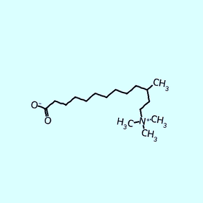 CC(CCCCCCCCCC(=O)[O-])CC[N+](C)(C)C